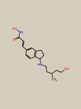 CC(CCO)CCNC1CCc2cc(C=CC(=O)NO)ccc21